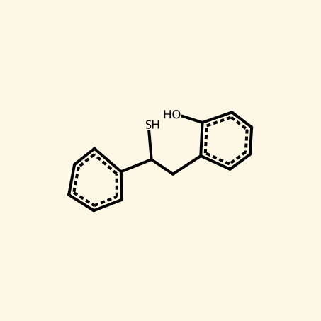 Oc1ccccc1CC(S)c1ccccc1